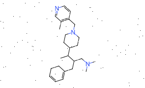 Cc1cnccc1CN1CCC(C(C)C(CC2=CC=CCC2)CN(C)C)CC1